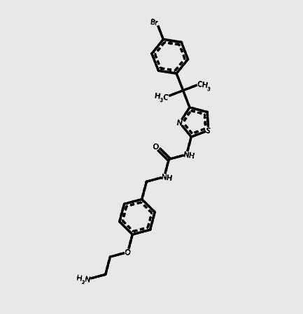 CC(C)(c1ccc(Br)cc1)c1csc(NC(=O)NCc2ccc(OCCN)cc2)n1